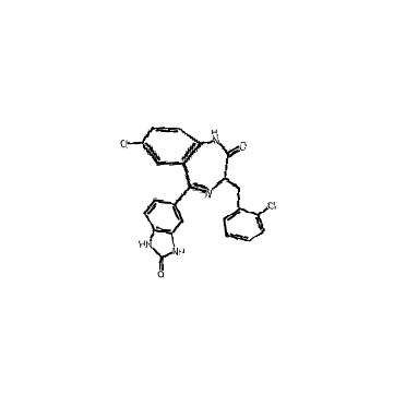 O=C1Nc2ccc(Cl)cc2C(c2ccc3[nH]c(=O)[nH]c3c2)=NC1Cc1ccccc1Cl